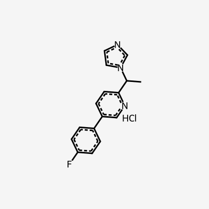 CC(c1ccc(-c2ccc(F)cc2)cn1)n1ccnc1.Cl